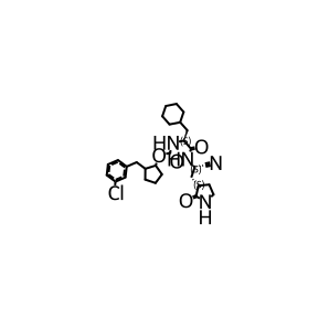 N#C[C@H](C[C@@H]1CCNC1=O)NC(=O)[C@H](CC1CCCCC1)NC(=O)OC1CCCC1Cc1cccc(Cl)c1